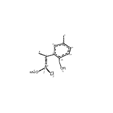 CO[N+](Cl)=C(C)c1nc(C)ccc1O